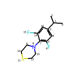 CC(C)c1cc(F)c(N2CCSCC2)c(F)c1